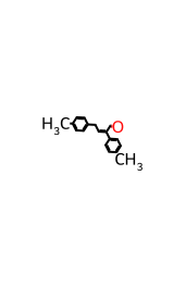 Cc1ccc(CC=C(C=O)c2ccc(C)cc2)cc1